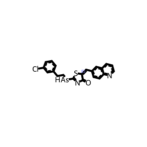 O=C1N=C([AsH]CCc2cccc(Cl)c2)S/C1=C/c1ccc2ncccc2c1